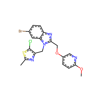 COc1ccc(OCc2nc3ccc(Br)cc3n2Cc2nc(C)sc2Cl)cn1